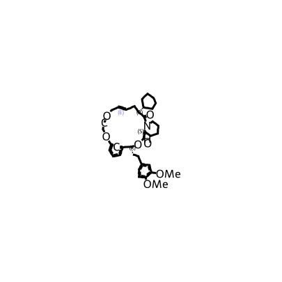 COc1ccc(CC[C@H]2OC(=O)[C@@H]3CCCCN3C(=O)[C@@H](C3CCCCC3)C/C=C/COCCOc3cccc2c3)cc1OC